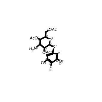 CC(=O)OCC1OC(Sc2cc(Cl)c(F)c(Br)c2)C(OC(C)=O)C(N)C1OC(C)=O